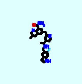 C=C(NCc1cc2cc[nH]c2cc1F)c1ccnc(Cc2cc(C(N)=O)c3ncc(C)cc3c2)c1